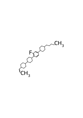 C/C=C\C1CCC(C2CCC(c3ccc(C4CCC(CCCCC)CC4)cc3F)CC2)CC1